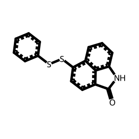 O=C1Nc2cccc3c(SSc4ccccc4)ccc1c23